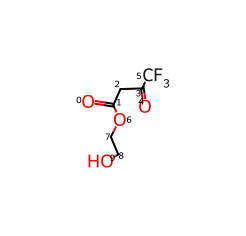 O=C(CC(=O)C(F)(F)F)OCCO